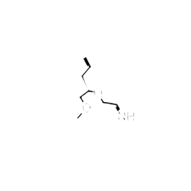 C=CC[C@H](COC)OCC=N